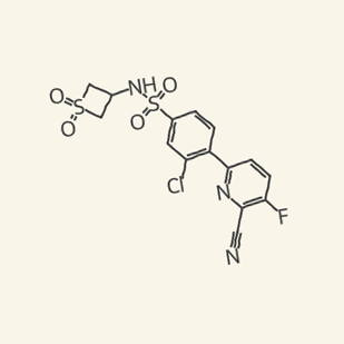 N#Cc1nc(-c2ccc(S(=O)(=O)NC3CS(=O)(=O)C3)cc2Cl)ccc1F